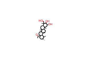 CC(=O)[C@]12CC[C@@H](C)[C@H](C)C1C1=CCC3[C@@]4(C)C[C@@H](O)[C@H](O)[C@@](C)(CO)C4CC[C@@]3(C)[C@]1(C)CC2